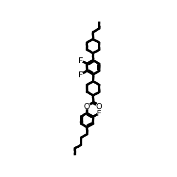 CCCCCc1ccc(OC(=O)C2CCC(c3ccc(C4CCC(CCC)CC4)c(F)c3F)CC2)c(F)c1